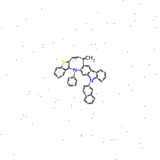 C=C1/C=C\c2sc3ccccc3c2N(c2ccccc2)c2cc3c(cc21)c1ccccc1n3-c1ccc2ccccc2c1